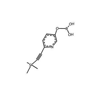 C[Si](C)(C)C#Cc1ccc(OB(O)O)cn1